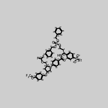 CCS(=O)(=O)c1ccc([C@H](CCOP(=O)(OCc2ccccc2)OCc2ccccc2)NC(=O)c2ccc(N3C[C@@H](Oc4ccc(OC(F)(F)F)cc4)C[C@H]3COC(F)F)cc2)cc1